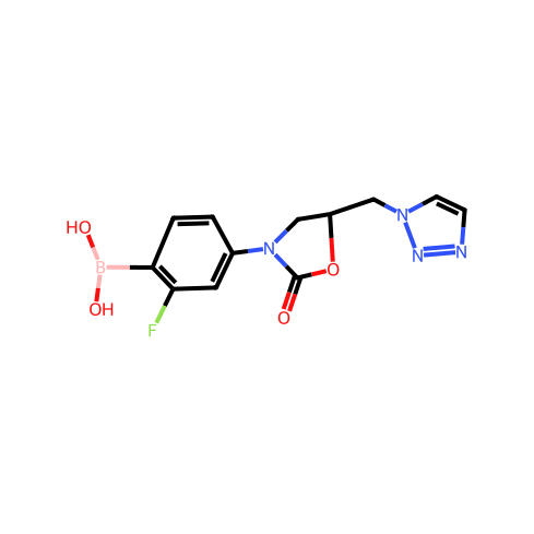 O=C1OC(Cn2ccnn2)CN1c1ccc(B(O)O)c(F)c1